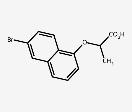 CC(Oc1cccc2cc(Br)ccc12)C(=O)O